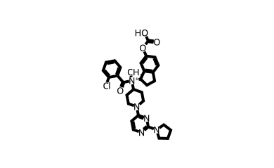 C[N+](C(=O)c1ccccc1Cl)(C1CCN(c2ccnc(N3CCCC3)n2)CC1)C1CCc2ccc(OC(=O)O)cc21